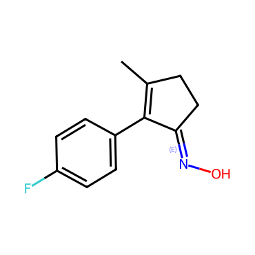 CC1=C(c2ccc(F)cc2)/C(=N/O)CC1